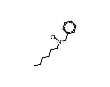 CCCCCC[N+](Cl)Cc1ccccc1